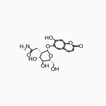 NC(=O)C[C@@H]1[C@H](Oc2cc3ccc(=O)oc3cc2O)O[C@H](CO)[C@@H](O)[C@@H]1O